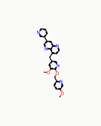 COc1ccc(COc2ncc(Cc3ccnc4cc(-c5cccnc5)cnc34)cc2OC)nc1